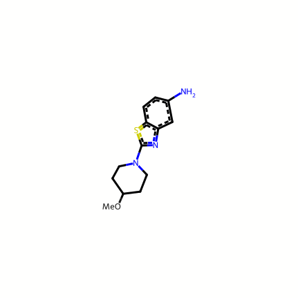 COC1CCN(c2nc3cc(N)ccc3s2)CC1